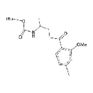 COc1cc(C)ccc1C(=O)CCC(C)NC(=O)OC(C)(C)C